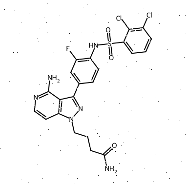 NC(=O)CCCn1nc(-c2ccc(NS(=O)(=O)c3cccc(Cl)c3Cl)c(F)c2)c2c(N)nccc21